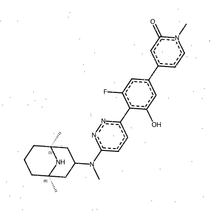 CN(c1ccc(-c2c(O)cc(-c3ccn(C)c(=O)c3)cc2F)nn1)C1C[C@]2(C)CCC[C@](C)(C1)N2